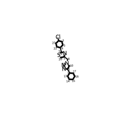 Clc1ccc(-c2nc(Cn3cc(-c4ccccc4)nn3)cs2)cc1